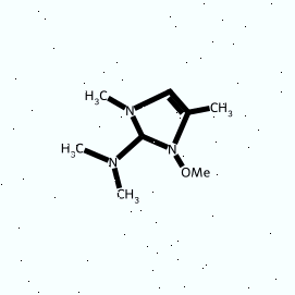 CON1C(C)=CN(C)C1N(C)C